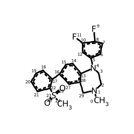 CN1CCN(c2ccc(F)c(F)c2)c2ccc(-c3ccccc3S(C)(=O)=O)cc2C1